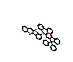 c1ccc(-c2ccccc2N(c2ccc3c(c2)C(c2ccccc2)(c2ccccc2)c2ccccc2-3)c2cccc3c2oc2cc4ccccc4nc23)cc1